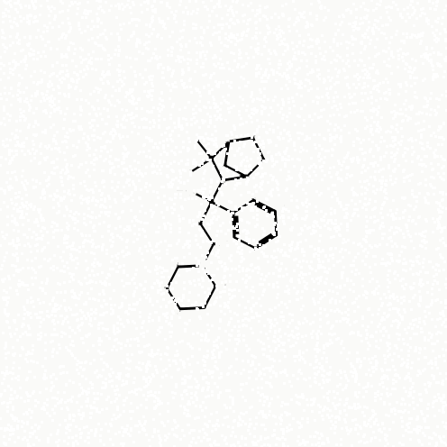 CC1(C)C2CCC(C2)C1C(O)(CCN1CCCCC1)c1ccccc1